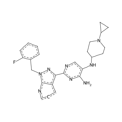 Nc1nc(-c2nn(Cc3ccccc3F)c3ncccc23)ncc1NC1CCN(C2CC2)CC1